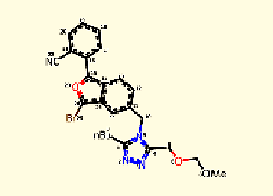 CCCCc1nnc(COCOC)n1Cc1ccc2c(-c3ccccc3C#N)oc(Br)c2c1